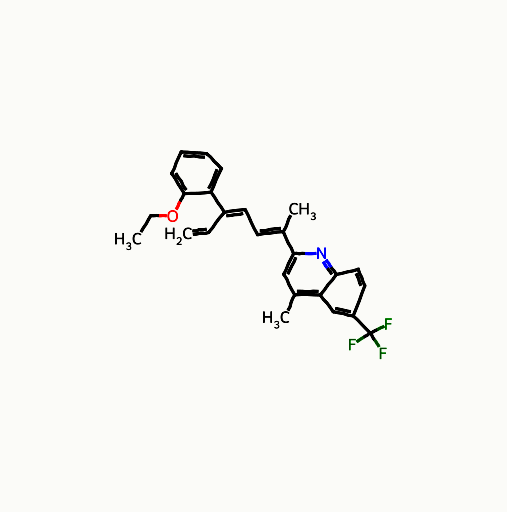 C=C/C(=C\C=C(/C)c1cc(C)c2cc(C(F)(F)F)ccc2n1)c1ccccc1OCC